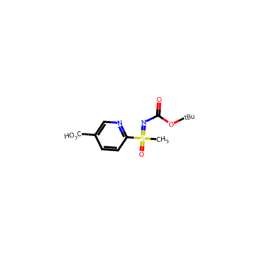 CC(C)(C)OC(=O)N=S(C)(=O)c1ccc(C(=O)O)cn1